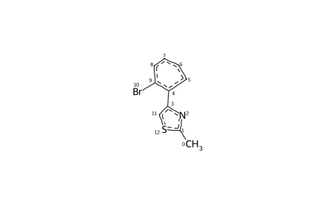 Cc1nc(-c2ccccc2Br)cs1